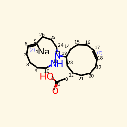 CC(=O)O.[Na]/[C]1=C\CCCCNN(C2CCC/C=C\CCCCC2)CCC1